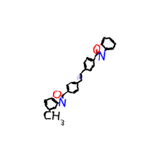 Cc1ccc2oc(-c3ccc(/C=C/c4ccc(-c5nc6ccccc6o5)cc4)cc3)nc2c1